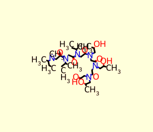 CCC(C)N(C)CC(=O)N(CC(=O)N(CC(=O)N(CC(=O)N(CC(=O)N(CC=O)CC(C)O)CC(C)O)CC(C)O)C(C)CC)C(C)CC